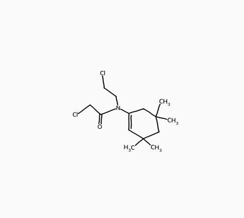 CC1(C)C=C(N(CCCl)C(=O)CCl)CC(C)(C)C1